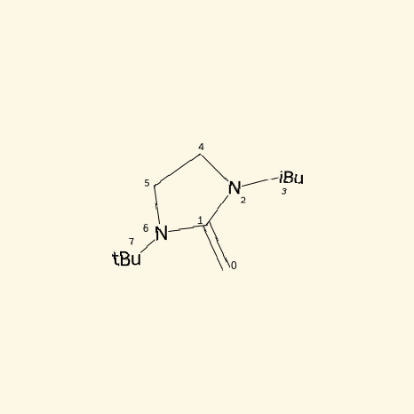 C=C1N(C(C)CC)CCN1C(C)(C)C